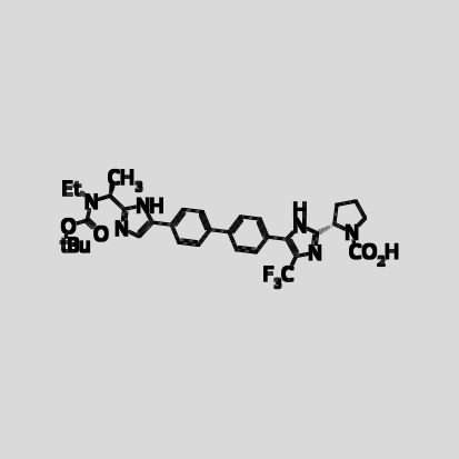 CCN(C(=O)OC(C)(C)C)[C@@H](C)c1ncc(-c2ccc(-c3ccc(-c4[nH]c([C@@H]5CCCN5C(=O)O)nc4C(F)(F)F)cc3)cc2)[nH]1